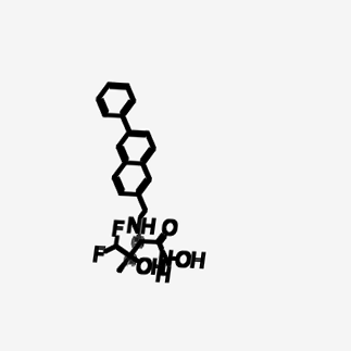 C[C@@](O)(C(F)F)[C@H](NCc1ccc2cc(-c3ccccc3)ccc2c1)C(=O)NO